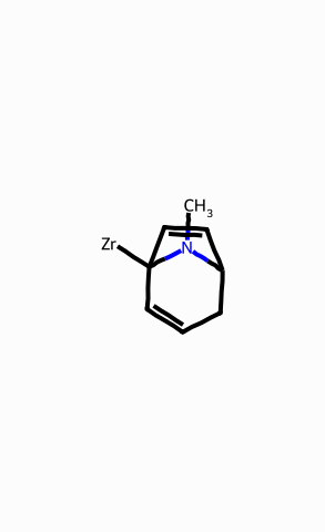 CN1C2C=C[C]1([Zr])C=CC2